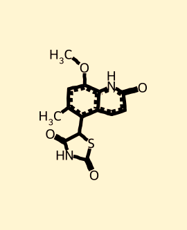 COc1cc(C)c(C2SC(=O)NC2=O)c2ccc(=O)[nH]c12